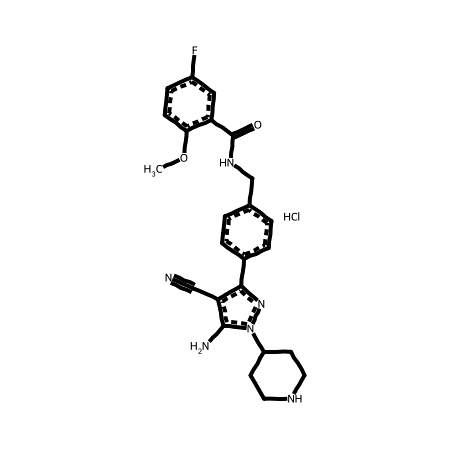 COc1ccc(F)cc1C(=O)NCc1ccc(-c2nn(C3CCNCC3)c(N)c2C#N)cc1.Cl